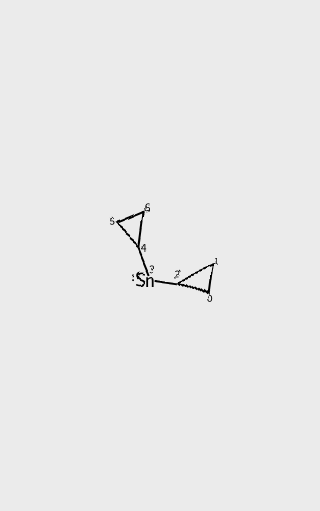 C1C[CH]1[Sn][CH]1CC1